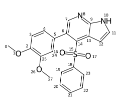 COc1ccc(-c2cnc3[nH]ccc3c2S(=O)(=O)c2ccccc2)cc1OC